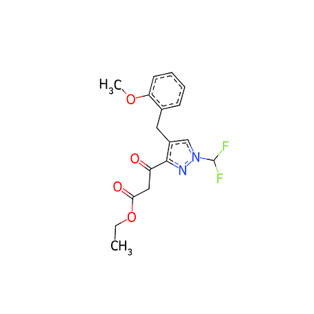 CCOC(=O)CC(=O)c1nn(C(F)F)cc1Cc1ccccc1OC